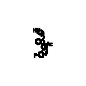 CC(=O)N1N=C(c2cc(F)ccc2F)CC1(CCCN1CC2CC1CN2)c1ccccc1